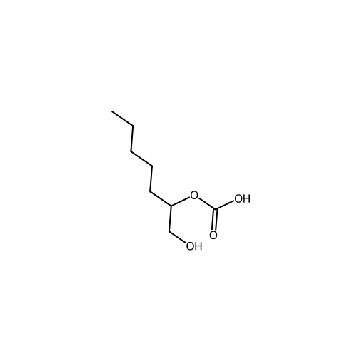 CCCCCC(CO)OC(=O)O